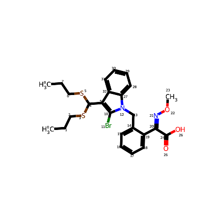 CCCSC(SCCC)c1c(Br)n(Cc2ccccc2C(=NOC)C(=O)O)c2ccccc12